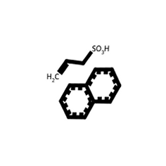 C=CCS(=O)(=O)O.c1ccc2ccccc2c1